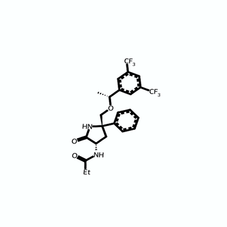 CCC(=O)N[C@H]1C[C@@](CO[C@H](C)c2cc(C(F)(F)F)cc(C(F)(F)F)c2)(c2ccccc2)NC1=O